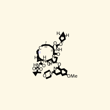 COc1ccc2c(O[C@@H]3C[C@H]4C(=O)N[C@]5(C(=O)NS(=O)(=O)C6(C)CC6)C[C@H]5/C=C\CC[C@H](C)C[C@@H](C)[C@H](NC(=O)O[C@@H]5C[C@@H]6C[C@@H]6C5)C(=O)N4C3)nc(N3CCOCC3)cc2c1